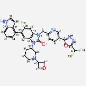 O=c1n(Cc2ccc(-c3nnc(C(F)F)o3)cn2)c2cc(F)c(-c3cccc4[nH]ccc34)cc2n1[C@@H]1CCCN(C2COC2)C1